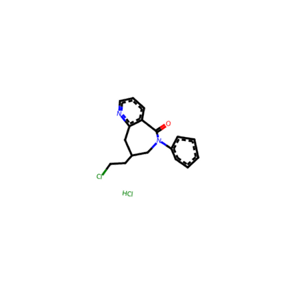 Cl.O=C1c2cccnc2CC(CCCl)CN1c1ccccc1